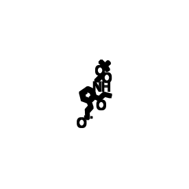 CCC(=O)c1c(/C=C/[C]=O)cccc1NCC(=O)OC(C)(C)C